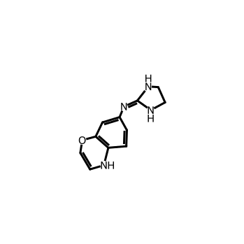 C1=COc2cc(N=C3NCCN3)ccc2N1